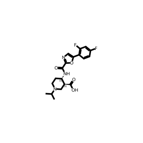 CC(C)N1CC[C@H](NC(=O)c2ncc(-c3ccc(F)cc3F)o2)[C@@H](C(=O)O)C1